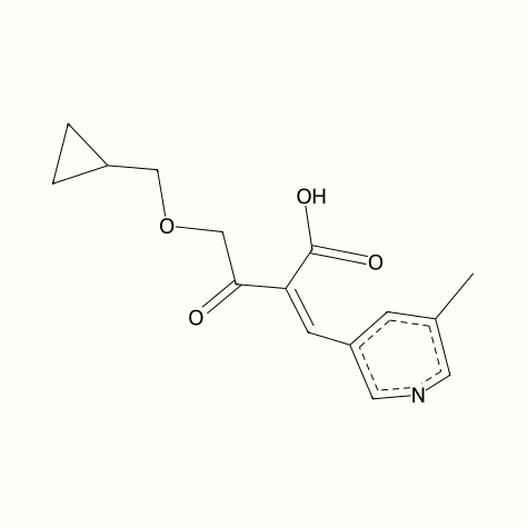 Cc1cncc(C=C(C(=O)O)C(=O)COCC2CC2)c1